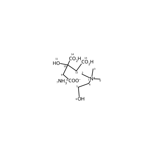 C[N+](C)(C)CCO.N.O=C([O-])CC(O)(CC(=O)O)C(=O)O